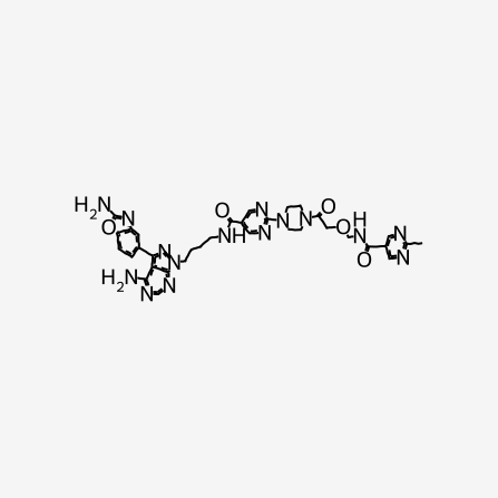 Cc1ncc(C(=O)NCOCC(=O)N2CCN(c3ncc(C(=O)NCCCCn4nc(-c5ccc6oc(N)nc6c5)c5c(N)ncnc54)cn3)CC2)cn1